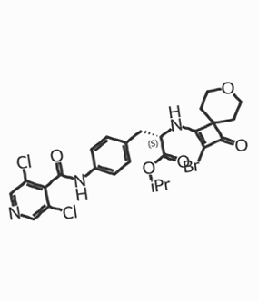 CC(C)OC(=O)[C@H](Cc1ccc(NC(=O)c2c(Cl)cncc2Cl)cc1)NC1=C(Br)C(=O)C12CCOCC2